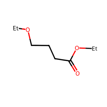 CCOCCCC(=O)OCC